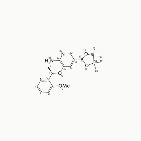 COc1ccccc1[C@@H](C)Oc1cc(B2OC(C)(C)C(C)(C)O2)cnc1N